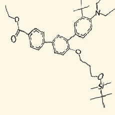 CCOC(=O)c1ccc(-c2ccc(OCCCO[Si](C)(C)C(C)(C)C)c(-c3ccc(N(CC)CC)c(C(C)(C)C)c3)c2)cc1